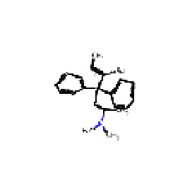 C/C=C(\C(C)(C)C)C(CC(C)N(C)C)(c1ccccc1)c1ccccc1